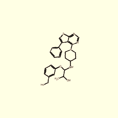 CC(O)C(NC1CCN(c2ncnc3scc(-c4ccccc4)c23)CC1)Oc1cccc(CO)c1